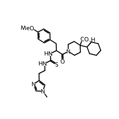 COc1ccc(CC(NC(=S)NCCc2cn(C)cn2)C(=O)N2CCC(C(=O)O)(C3CCCCC3)CC2)cc1